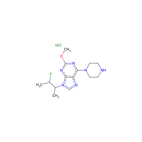 COc1nc(N2CCNCC2)c2ncn(C(C)C(C)F)c2n1.Cl